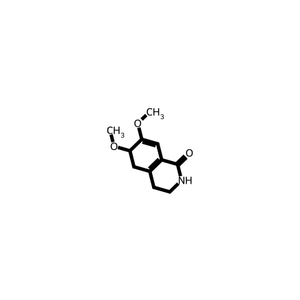 COC1=CC2=C(CCNC2=O)CC1OC